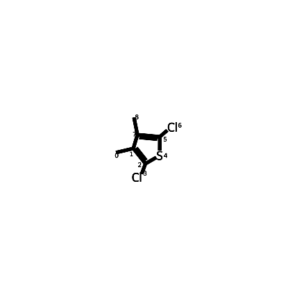 Cc1c(Cl)sc(Cl)c1C